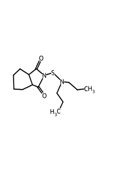 CCCN(CCC)SN1C(=O)C2CCCCC2C1=O